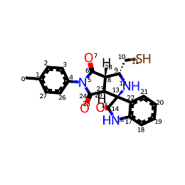 Cc1ccc(N2C(=O)[C@@H]3[C@H](CS)N[C@@]4(C(=O)Nc5ccccc54)[C@@H]3C2=O)cc1